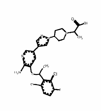 CC(Oc1cc(-c2cnn(C3CCN(C(C)C(=O)O)CC3)c2)cnc1N)c1c(Cl)ccc(F)c1Cl